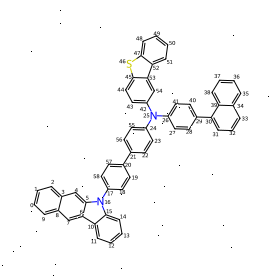 c1ccc2cc3c(cc2c1)c1ccccc1n3-c1ccc(-c2ccc(N(c3ccc(-c4cccc5ccccc45)cc3)c3ccc4sc5ccccc5c4c3)cc2)cc1